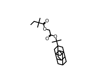 CCC(C)(C)C(=O)OCC(=O)OC(C)(C)C12CC3C4CC5CC3C3(CC4(C1)C3C5)C2